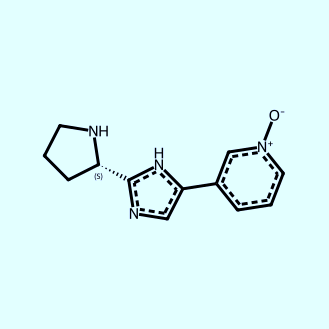 [O-][n+]1cccc(-c2cnc([C@@H]3CCCN3)[nH]2)c1